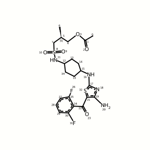 CC(=O)OC[C@H](C)CS(=O)(=O)NC1CCC(Nc2nc(N)c(C(=O)c3c(F)cccc3F)s2)CC1